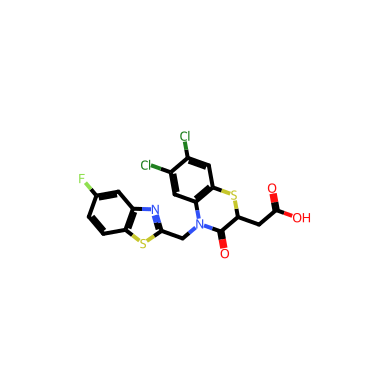 O=C(O)CC1Sc2cc(Cl)c(Cl)cc2N(Cc2nc3cc(F)ccc3s2)C1=O